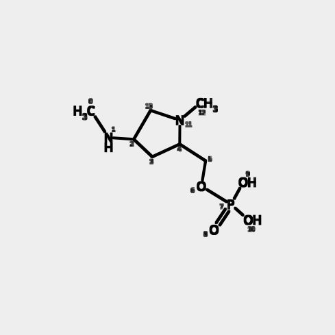 CNC1CC(COP(=O)(O)O)N(C)C1